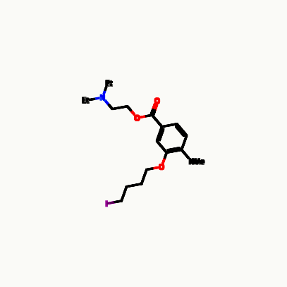 CCN(CC)CCOC(=O)c1ccc(NC)c(OCCCCI)c1